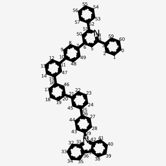 c1ccc(-c2cc(-c3ccc(-c4cccc(-c5cccc(-c6cccc(-c7ccc(-n8c9ccccc9c9ccccc98)cc7)c6)c5)c4)cc3)cc(-c3ccccc3)n2)cc1